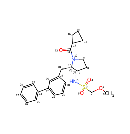 COCS(=O)(=O)N[C@H]1CCN(C(=O)C2CCC2)[C@H]1Cc1cccc(-c2ccccc2)c1